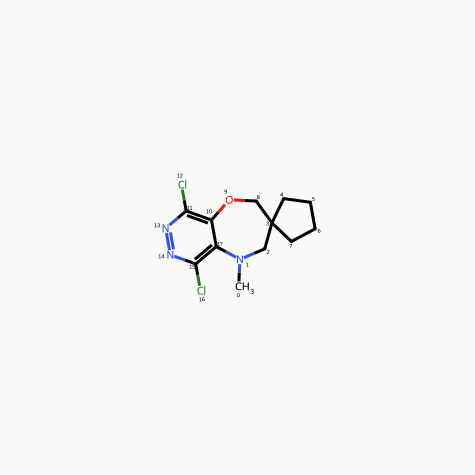 CN1CC2(CCCC2)COc2c(Cl)nnc(Cl)c21